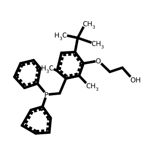 Cc1cc(C(C)(C)C)c(OCCO)c(C)c1CP(c1ccccc1)c1ccccc1